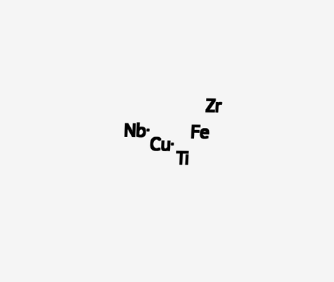 [Cu].[Fe].[Nb].[Ti].[Zr]